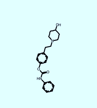 O=C(Nc1ccccc1)Oc1ccc(CCN2CCC(O)CC2)cc1